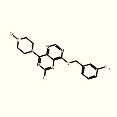 [O-][S+]1CCN(c2nc(Cl)nc3c(SCc4cccc(C(F)(F)F)c4)ncnc23)CC1